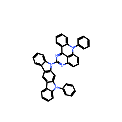 c1ccc(N2c3ccccc3-c3nc(-n4c5ccccc5c5cc6c7ccccc7n(-c7ccccc7)c6cc54)nc4cccc2c34)cc1